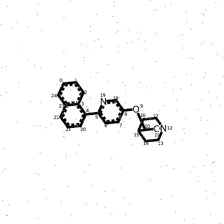 c1ccc2c(-c3ccc(OC4CN5CCC4CC5)cn3)cccc2c1